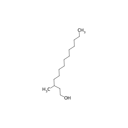 CCCCCCCCCCCC(C)CCO